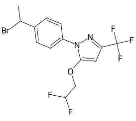 CC(Br)c1ccc(-n2nc(C(F)(F)F)cc2OCC(F)F)cc1